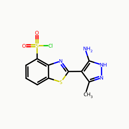 Cc1n[nH]c(N)c1-c1nc2c(S(=O)(=O)Cl)cccc2s1